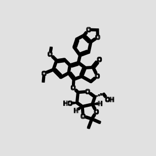 COc1cc2c(OC3O[C@H](CO)[C@@H]4OC(C)(C)O[C@@H]4[C@H]3O)c3c(c(-c4ccc5c(c4)OCO5)c2cc1OC)C(=O)OC3